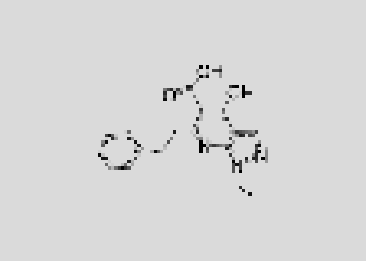 CCn1ncc2c(O)c(C(=O)O)c(CCc3ccccc3)nc21